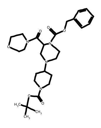 CC(C)(C)OC(=O)N1CCC(N2CCN(C(=O)OCc3ccccc3)C(C(=O)N3CCOCC3)C2)CC1